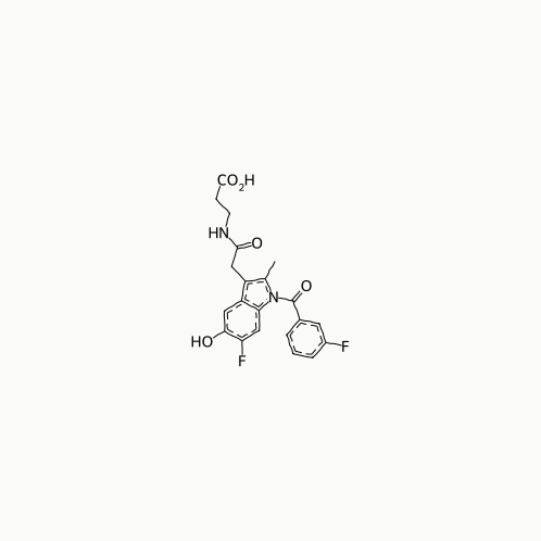 Cc1c(CC(=O)NCCC(=O)O)c2cc(O)c(F)cc2n1C(=O)c1cccc(F)c1